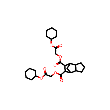 O=C(COC(=O)C1C2CC(C3CCCC32)C1C(=O)OCC(=O)OC1CCCCC1)OC1CCCCC1